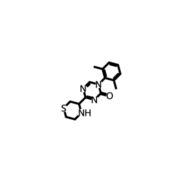 Cc1cccc(C)c1-n1cnc(C2CSCCN2)nc1=O